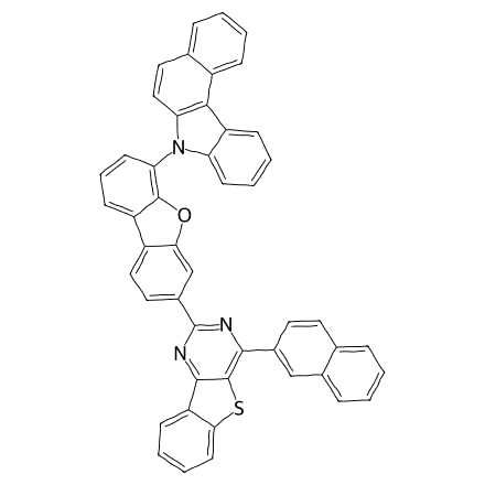 c1ccc2cc(-c3nc(-c4ccc5c(c4)oc4c(-n6c7ccccc7c7c8ccccc8ccc76)cccc45)nc4c3sc3ccccc34)ccc2c1